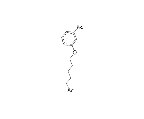 CC(=O)CCCCCOc1cccc(C(C)=O)c1